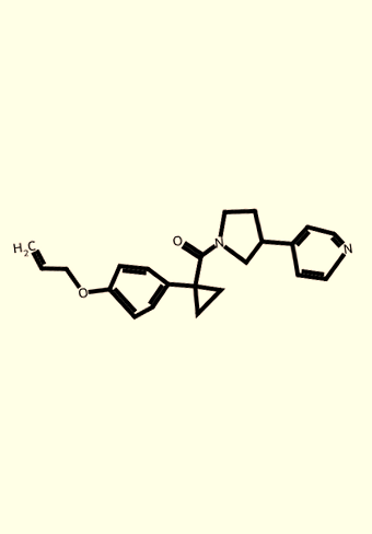 C=CCOc1ccc(C2(C(=O)N3CCC(c4ccncc4)C3)CC2)cc1